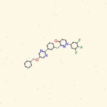 O=c1ccn(-c2cc(F)c(F)c(F)c2)nc1Cc1cccc(-c2ncc(OCc3ccccc3)cn2)c1